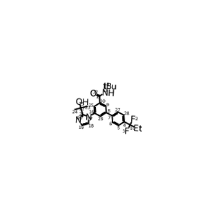 CCC(F)(F)c1ccc(-c2cc(C(=O)NC(C)(C)C)cc(-n3ccnc3C(C)(C)O)c2)cc1